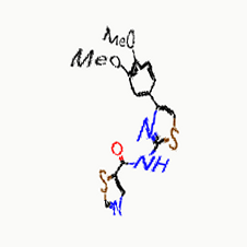 COc1ccc(-c2csc(NC(=O)c3cncs3)n2)cc1OC